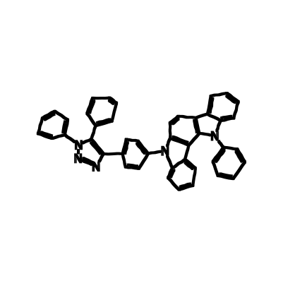 c1ccc(-c2c(-c3ccc(-n4c5ccccc5c5c4ccc4c6ccccc6n(-c6ccccc6)c45)cc3)nnn2-c2ccccc2)cc1